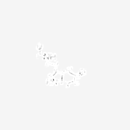 O=CNCCc1c[nH]c2ccc(Cl)cc12